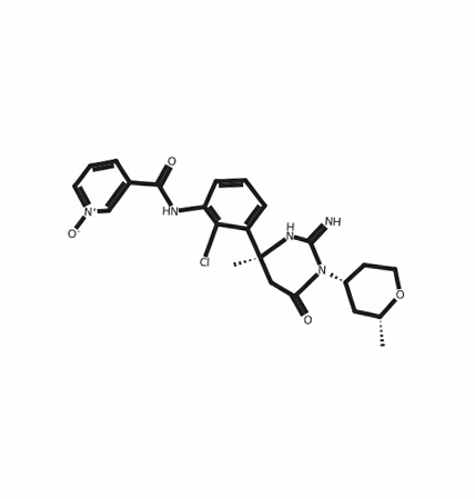 C[C@@H]1C[C@H](N2C(=N)N[C@](C)(c3cccc(NC(=O)c4ccc[n+]([O-])c4)c3Cl)CC2=O)CCO1